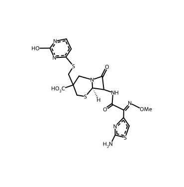 CON=C(C(=O)NC1C(=O)N2CC(CSc3ccnc(O)n3)(C(=O)O)CS[C@H]12)c1csc(N)n1